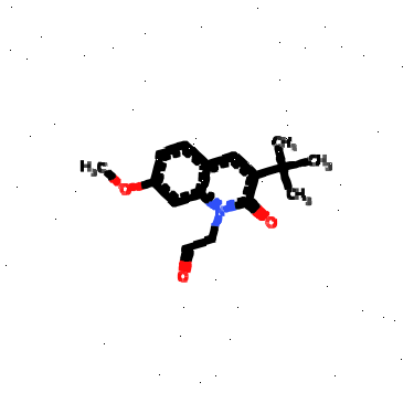 COc1ccc2cc(C(C)(C)C)c(=O)n(CC=O)c2c1